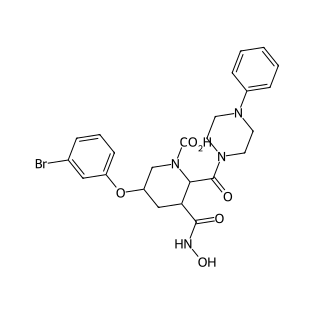 O=C(NO)C1CC(Oc2cccc(Br)c2)CN(C(=O)O)C1C(=O)N1CCN(c2ccccc2)CC1